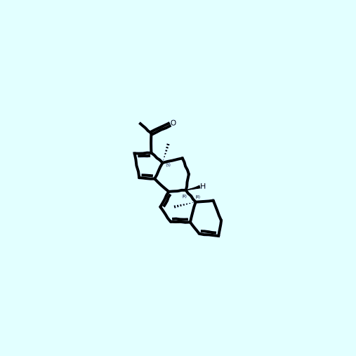 CC(=O)C1=CC=C2C3=CC=C4C=CCC[C@]4(C)[C@H]3CC[C@]12C